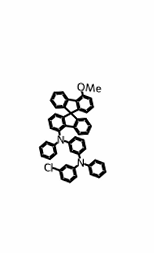 COc1cccc2c1-c1ccccc1C21c2ccccc2-c2c(N(c3ccccc3)c3cccc(N(c4ccccc4)c4cccc(Cl)c4)c3)cccc21